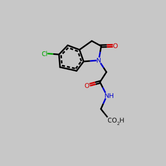 O=C(O)CNC(=O)CN1C(=O)Cc2cc(Cl)ccc21